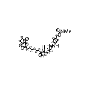 CNC(=O)OCc1ccc(NCCNC[C@@H](NC(=O)CCCCCCC(=O)ON2C(=O)CCC2=O)C(C)C)cc1